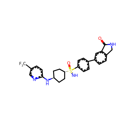 N=S(=O)(c1ccc(-c2ccc3c(c2)C(=O)NC3)cc1)[C@H]1CC[C@H](Nc2ccc(C(F)(F)F)cn2)CC1